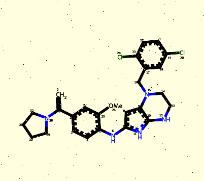 C=C(c1ccc(Nc2cc3c([nH]2)NCCN3Cc2cc(Cl)ccc2Cl)c(OC)c1)N1CCCC1